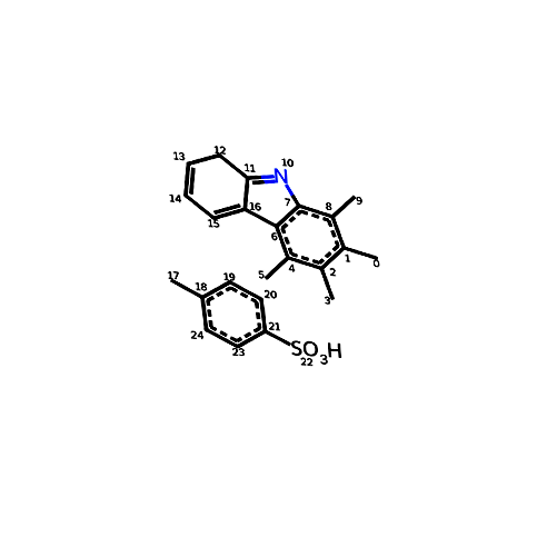 Cc1c(C)c(C)c2c(c1C)N=C1CC=CC=C12.Cc1ccc(S(=O)(=O)O)cc1